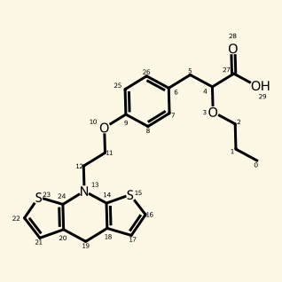 CCCOC(Cc1ccc(OCCN2c3sccc3Cc3ccsc32)cc1)C(=O)O